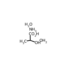 CC(O)C(=O)O.N.O.O